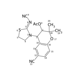 CC(=O)OC1C(N2CCSC2=NC#N)c2cc(C#N)ccc2OC1(C)C